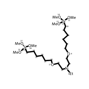 CCN(CCOCCCCCC[Si](OC)(OC)OC)CCOCCCCCC[Si](OC)(OC)OC